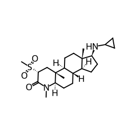 CN1C(=O)[C@H](S(C)(=O)=O)C[C@]2(C)[C@H]3CC[C@]4(C)[C@@H](NC5CC5)CC[C@H]4[C@@H]3CC[C@@H]12